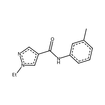 CCn1cc(C(=O)Nc2cccc(C)c2)cn1